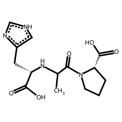 CC(N[C@@H](Cc1c[nH]cn1)C(=O)O)C(=O)N1CCC[C@H]1C(=O)O